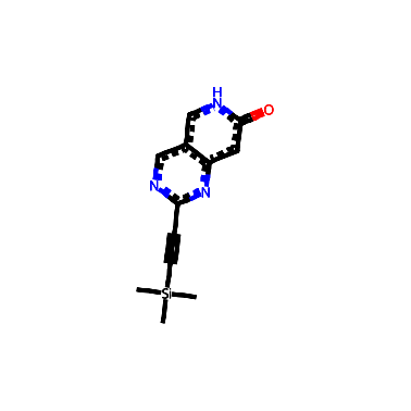 C[Si](C)(C)C#Cc1ncc2c[nH]c(=O)cc2n1